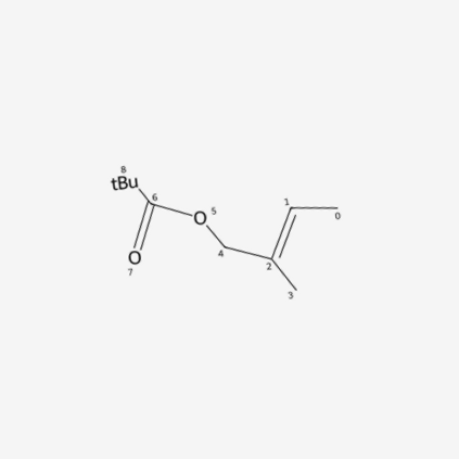 CC=C(C)COC(=O)C(C)(C)C